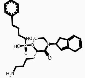 NCCCC[C@H](OP(=O)(O)CCCCc1ccccc1)C(=O)N(CC(=O)O)C1C=C2CC=CC=C2C1